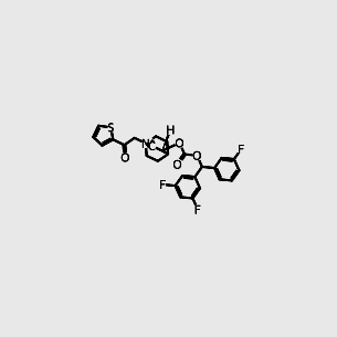 O=C(OC(c1cccc(F)c1)c1cc(F)cc(F)c1)O[C@H]1C[N+]2(CC(=O)c3cccs3)CCC1CC2